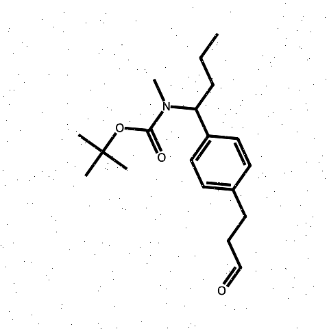 CCCC(c1ccc(CCC=O)cc1)N(C)C(=O)OC(C)(C)C